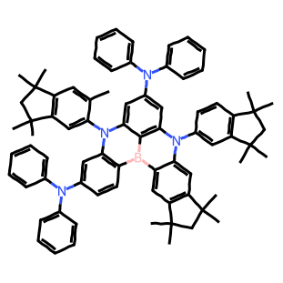 Cc1cc2c(cc1N1c3cc(N(c4ccccc4)c4ccccc4)ccc3B3c4cc5c(cc4N(c4ccc6c(c4)C(C)(C)CC6(C)C)c4cc(N(c6ccccc6)c6ccccc6)cc1c43)C(C)(C)CC5(C)C)C(C)(C)CC2(C)C